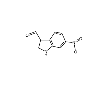 O=CC1CNc2cc([N+](=O)[O-])ccc21